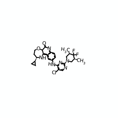 C[C@@H]1CN(c2ncc(Cl)c(Nc3ccc4c(c3)=C3N[C@@H](C5CC5)CCOC3C(=O)N=4)n2)C[C@H](C)C1(F)F